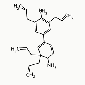 C=CCc1cc(C2=CC(CC=C)(CC=C)C(N)C=C2)cc(CC=C)c1N